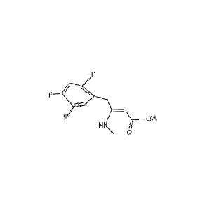 CNC(=CC(=O)O)Cc1cc(F)c(F)cc1F